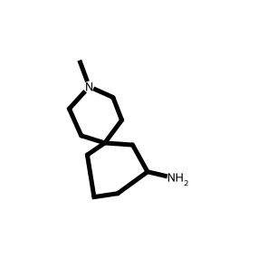 CN1CCC2(CCCC(N)C2)CC1